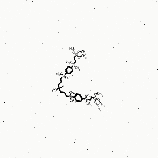 CO[Si](CC[Si](C)(C)c1ccc([Si](C)(C)CCCC(O)(F)CCC[Si](C)(C)c2ccc([Si](C)(C)CC[Si](OC)(OC)OC)cc2)cc1)(OC)OC